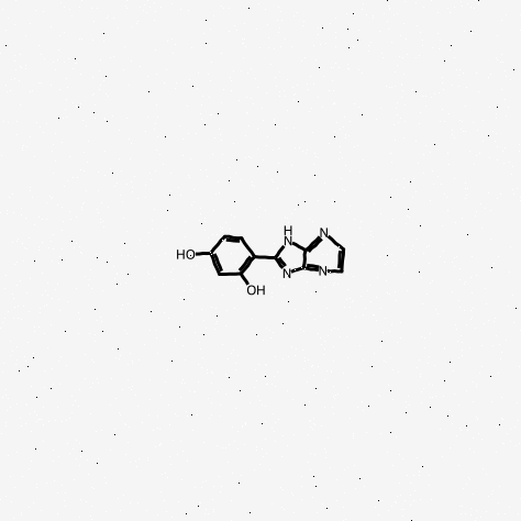 Oc1ccc(-c2nc3nccnc3[nH]2)c(O)c1